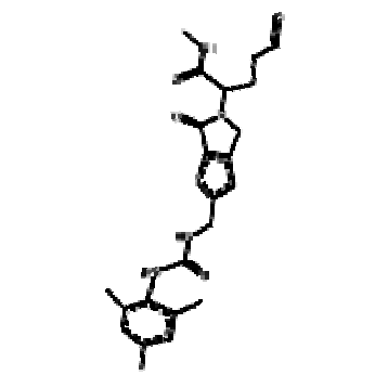 CNC(=O)C(CCC=O)N1Cc2cc(CNC(=O)Nc3c(C)cc(C)cc3C)sc2C1=O